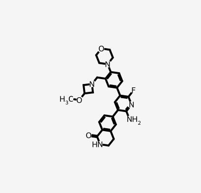 COC1CN(Cc2cc(-c3cc(-c4ccc5c(c4)CCNC5=O)c(N)nc3F)ccc2N2CCOCC2)C1